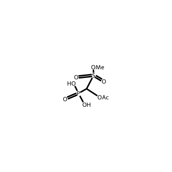 COS(=O)(=O)C(OC(C)=O)P(=O)(O)O